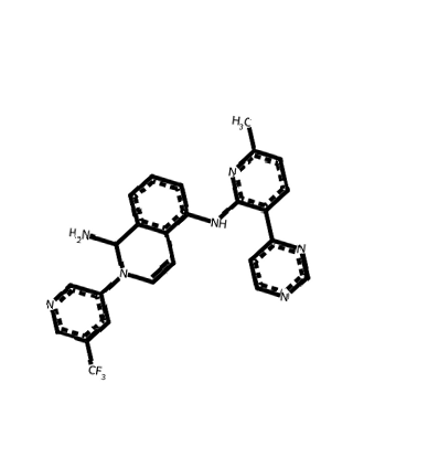 Cc1ccc(-c2ccncn2)c(Nc2cccc3c2C=CN(c2cncc(C(F)(F)F)c2)C3N)n1